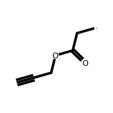 C#CCOC(=O)C[CH2]